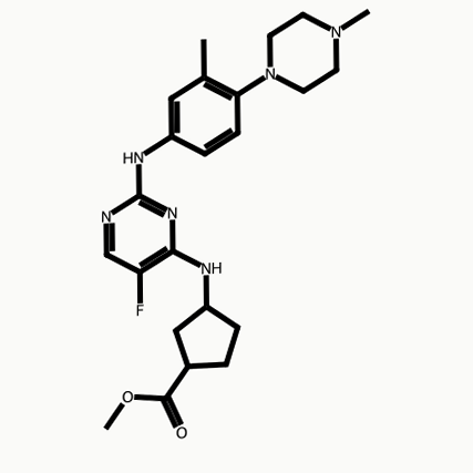 COC(=O)C1CCC(Nc2nc(Nc3ccc(N4CCN(C)CC4)c(C)c3)ncc2F)C1